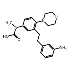 CN(C(=O)O)c1ccc(N2CCOCC2)c(CCc2cccc(N)c2)c1